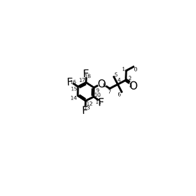 CCC(=O)C(C)(C)COc1c(F)c(F)cc(F)c1F